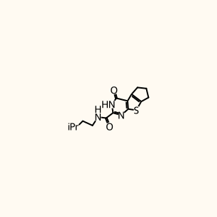 CC(C)CCNC(=O)c1nc2sc3c(c2c(=O)[nH]1)CCC3